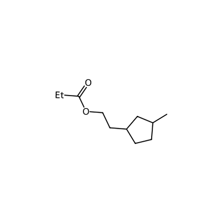 CCC(=O)OCCC1CCC(C)C1